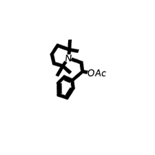 CC(=O)OC(CN1C(C)(C)CCCC1(C)C)c1ccccc1